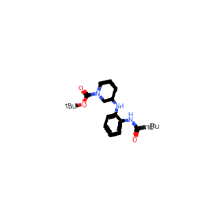 CCCCC(=O)Nc1ccccc1NC1CCCN(C(=O)OC(C)(C)C)C1